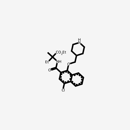 CCOC(=O)C(C)(CC)NC(=O)c1cc(Cl)c2ccccc2c1OCC1CCNCC1